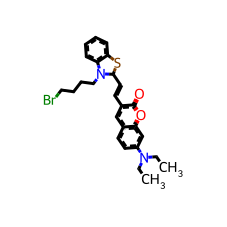 CCN(CC)c1ccc2cc(/C=C/C3Sc4ccccc4N3CCCCBr)c(=O)oc2c1